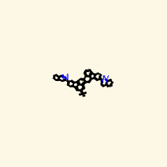 CC(C)(C)c1cc2c3ccc(-c4cc5ccccc5cn4)cc3c3cc4c(cc5c6cc(-c7ccc8ccccc8n7)ccc6c6cccc4c65)c(c1)c23